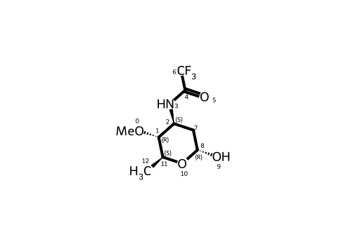 CO[C@@H]1[C@@H](NC(=O)C(F)(F)F)C[C@H](O)O[C@H]1C